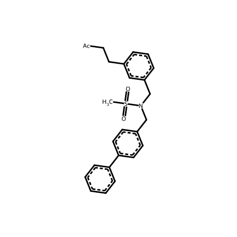 CC(=O)CCc1cccc(CN(Cc2ccc(-c3ccccc3)cc2)S(C)(=O)=O)c1